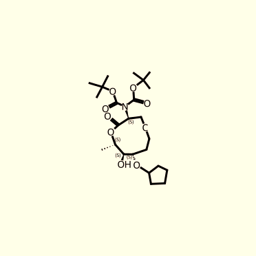 C[C@@H]1OC(=O)[C@@H](N(C(=O)OC(C)(C)C)C(=O)OC(C)(C)C)CCCC[C@H](OC2CCCC2)[C@H]1O